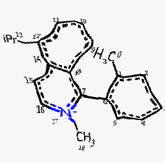 Cc1ccccc1-c1c2cccc(C(C)C)c2cc[n+]1C